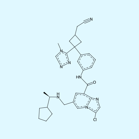 C[C@@H](NCc1cc(C(=O)Nc2cccc(C3(c4nncn4C)CC(CC#N)C3)c2)c2ncc(Cl)n2c1)C1CCCC1